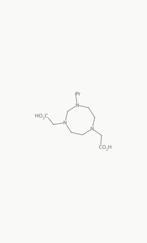 CC(C)N1CCN(CC(=O)O)CCN(CC(=O)O)C1